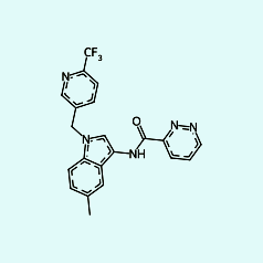 Cc1ccc2c(c1)c(NC(=O)c1cccnn1)cn2Cc1ccc(C(F)(F)F)nc1